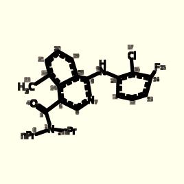 CCCN(CCC)C(=O)c1cnc(Nc2cccc(F)c2Cl)c2cccc(C)c12